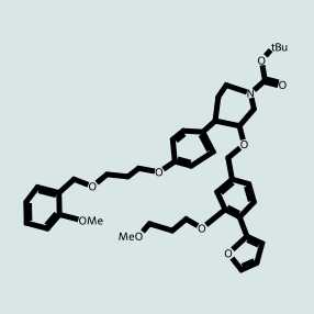 COCCCOc1cc(COC2CN(C(=O)OC(C)(C)C)CCC2c2ccc(OCCCOCc3ccccc3OC)cc2)ccc1-c1ccco1